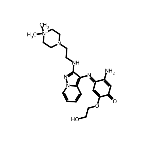 C[N+]1(C)CCN(CCNc2nn3ccccc3c2N=C2C=C(OCCO)C(=O)C=C2N)CC1